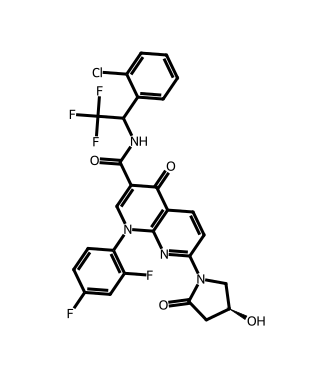 O=C(NC(c1ccccc1Cl)C(F)(F)F)c1cn(-c2ccc(F)cc2F)c2nc(N3C[C@@H](O)CC3=O)ccc2c1=O